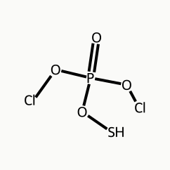 O=P(OS)(OCl)OCl